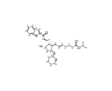 CC(C)OC(=O)CCC/C=C/C[C@@H]1[C@@H](/C=C/C(=O)c2cc3ccccc3s2)[C@@H](F)C[C@@H]1OC1CCCCO1